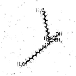 CCCC/C=C/CCCCCCCCOCC(C[N+](C)(C)CCO)OCCCCCCCC/C=C/CCCC